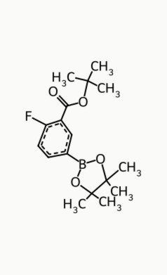 CC(C)(C)OC(=O)c1cc(B2OC(C)(C)C(C)(C)O2)ccc1F